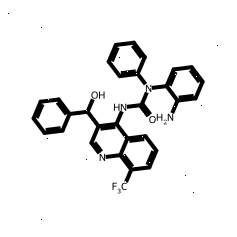 Nc1ccccc1N(C(=O)Nc1c(C(O)c2ccccc2)cnc2c(C(F)(F)F)cccc12)c1ccccc1